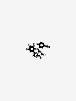 CN1C(=O)N=C(Nc2cc(C#N)ccc2F)N2C1=NCC2c1cc(F)c(F)c(F)c1